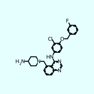 NC1CCN(Cc2cccc3ncnc(Nc4ccc(OCc5cccc(F)c5)c(Cl)c4)c23)CC1